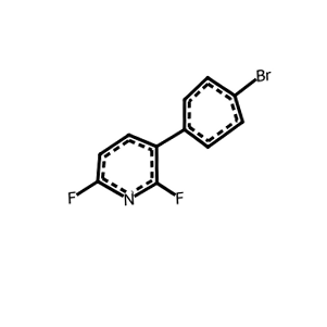 Fc1ccc(-c2ccc(Br)cc2)c(F)n1